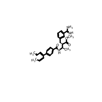 C=C/C=C(\C=C/C)c1ccc(C(=O)N[C@H](C)[C@@H](Cc2cccc(C(=N)N)c2)C(=O)OC)cc1